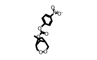 CC1CC2COOCC1C2OC(=O)Oc1ccc([N+](=O)[O-])cc1